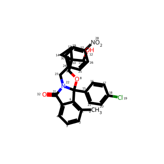 Cc1cccc2c1C(OCC1(CO)CC1)(c1ccc(Cl)cc1)N(Cc1ccc([N+](=O)[O-])cc1)C2=O